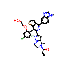 C=CC(=O)N1CCn2nc(-c3nc(-c4ccc5c(c4)ncn5C)c4ccsc4c3-c3c(F)cc(F)cc3OCCO)cc2[C@H]1C